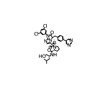 CC(C)C[C@@H](CO)NC(=O)[C@@H]1CCCN1S(=O)(=O)c1cnc2n1[C@](C)(Cc1ccc(-c3cncnc3)cc1)C(=O)N2c1cc(Cl)cc(Cl)c1